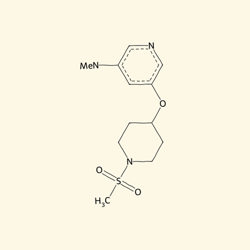 CNc1cncc(OC2CCN(S(C)(=O)=O)CC2)c1